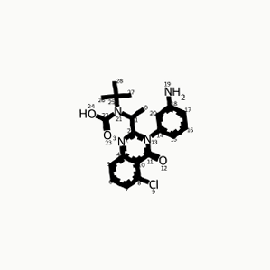 CC(c1nc2cccc(Cl)c2c(=O)n1-c1cccc(N)c1)N(C(=O)O)C(C)(C)C